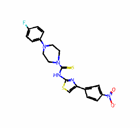 O=[N+]([O-])c1ccc(-c2csc(NC(=S)N3CCN(c4ccc(F)cc4)CC3)n2)cc1